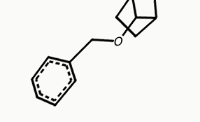 c1ccc(COC2C3CCC2O3)cc1